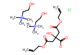 C=CCOC(=O)CC(O)(CC(=O)OCC=C)C(=O)[O-].C[N+](C)(C)CCO.C[N+](C)(C)CCO.[Cl-]